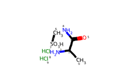 CC(N)C(N)=O.CS(=O)(=O)O.Cl.Cl